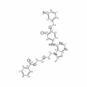 Cc1cc2ncnc(Nc3ccc(OCc4cccc(F)c4)c(Cl)c3)c2n1CCOCCOC(=O)c1ccccc1